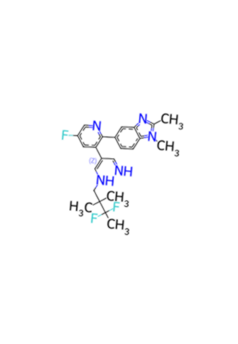 Cc1nc2cc(-c3ncc(F)cc3/C(C=N)=C/NCC(C)(C)C(C)(F)F)ccc2n1C